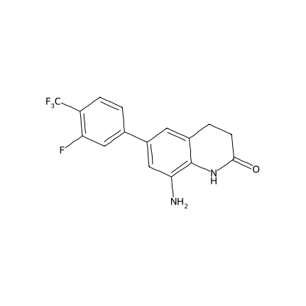 Nc1cc(-c2ccc(C(F)(F)F)c(F)c2)cc2c1NC(=O)CC2